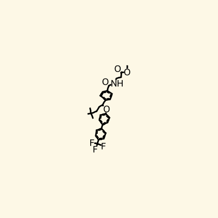 COC(=O)CCNC(=O)c1ccc(C(CCC(C)(C)C)Oc2ccc(-c3ccc(C(F)(F)F)cc3)cc2)cc1